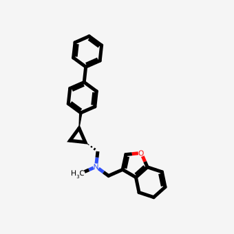 CN(Cc1coc2c1CCC=C2)C[C@@H]1C[C@H]1c1ccc(-c2ccccc2)cc1